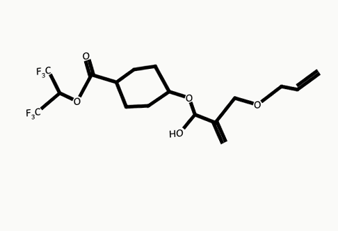 C=CCOCC(=C)C(O)OC1CCC(C(=O)OC(C(F)(F)F)C(F)(F)F)CC1